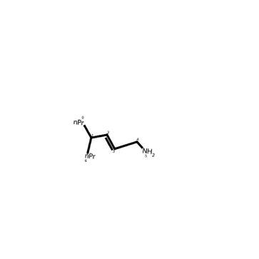 CCCC(C=CCN)CCC